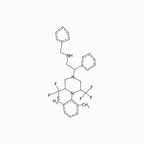 Cc1cccc(C)c1N1C(C(F)(F)F)CN(C(CNCc2ccccc2)c2ccccc2)CC1C(F)(F)F